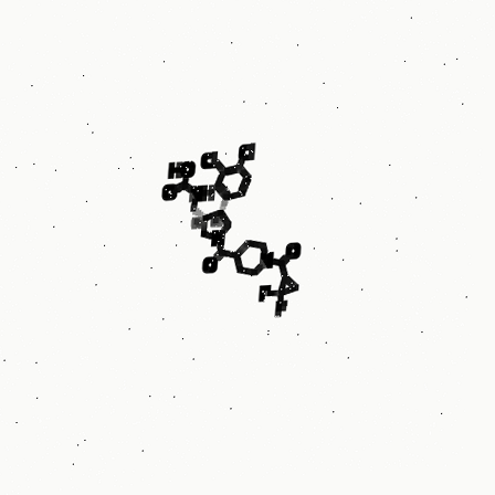 O=C(O)NC[C@H]1CN(C(=O)C2CCN(C(=O)C3CC3(F)F)CC2)C[C@H]1c1ccc(Cl)c(Cl)c1